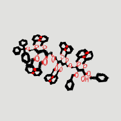 O[C@@H](OCc1ccccc1)[C@@H](OCc1ccccc1)[C@H](OCc1ccccc1)[C@@H](COC[C@H](OCc1ccccc1)[C@H](OCc1ccccc1)[C@@H](OCc1ccccc1)[C@H](COC[C@@H](OCc1ccccc1)[C@@H](OCc1ccccc1)[C@H](OCc1ccccc1)[C@@H](COC(c1ccccc1)(c1ccccc1)c1ccccc1)OCc1ccccc1)OCc1ccccc1)OCc1ccccc1